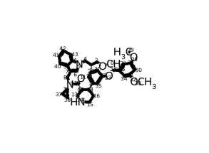 COCCCn1cc(CN(C(=O)[C@H]2CNCC[C@@H]2c2cccc(OCc3cc(OC)cc(OC)c3)c2)C2CC2)c2ccccc21